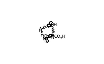 CN1Cc2cc(n(C)n2)CCc2cc3c(c(c2)OCCCc2c(C(=O)O)n(C)c4c(c(Cl)ccc24)-c2c(nn4c2CCC4)C1)NCCC3